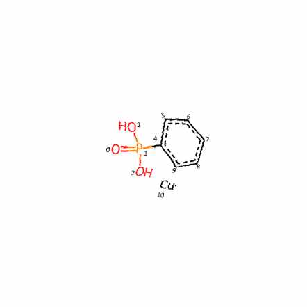 O=P(O)(O)c1ccccc1.[Cu]